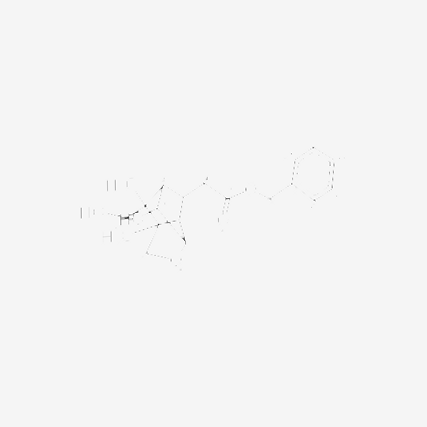 CC1(CO)C2C(O)C3OCC1(C)C3C2CC(=O)OCc1ccccc1